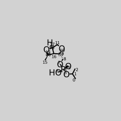 CC(C)OP(=O)(O)OC[C@H]1OC[C@@H]2O[C@H](C)C21